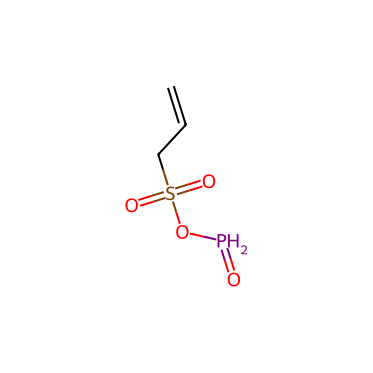 C=CCS(=O)(=O)O[PH2]=O